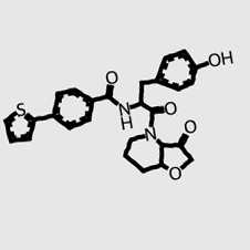 O=C(NC(Cc1ccc(O)cc1)C(=O)N1CCCC2OCC(=O)C21)c1ccc(-c2cccs2)cc1